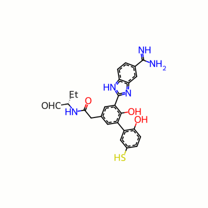 CC[C@@H](C=O)NC(=O)Cc1cc(-c2nc3cc(C(=N)N)ccc3[nH]2)c(O)c(-c2cc(S)ccc2O)c1